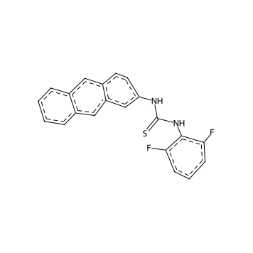 Fc1cccc(F)c1NC(=S)Nc1ccc2cc3ccccc3cc2c1